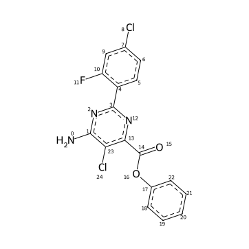 Nc1nc(-c2ccc(Cl)cc2F)nc(C(=O)Oc2ccccc2)c1Cl